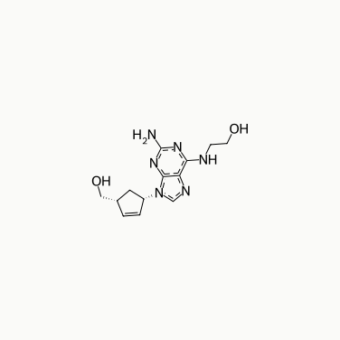 Nc1nc(NCCO)c2ncn([C@@H]3C=C[C@H](CO)C3)c2n1